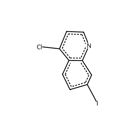 Clc1ccnc2cc(I)ccc12